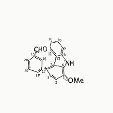 COc1cccc2c1[nH]c1ccccc12.O=Cc1ccccc1